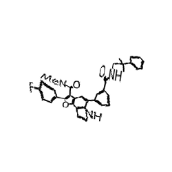 CNC(=O)c1c(-c2ccc(F)cc2)oc2c1cc(-c1cccc(C(=O)NCC(C)(C)c3ccccc3)c1)c1[nH]ccc12